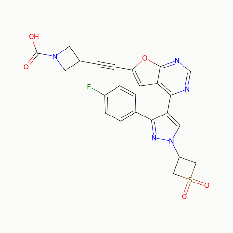 O=C(O)N1CC(C#Cc2cc3c(-c4cn(C5CS(=O)(=O)C5)nc4-c4ccc(F)cc4)ncnc3o2)C1